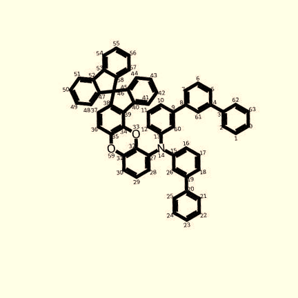 c1ccc(-c2cccc(-c3cccc(N(c4cccc(-c5ccccc5)c4)c4cccc5c4Oc4c(ccc6c4-c4ccccc4C64c6ccccc6-c6ccccc64)O5)c3)c2)cc1